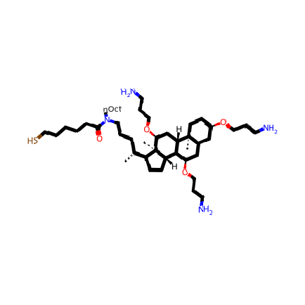 CCCCCCCCN(CCC[C@@H](C)C1CC[C@H]2C3[C@H](OCCCN)CC4C[C@H](OCCCN)CC[C@]4(C)[C@H]3C[C@H](OCCCN)[C@]12C)C(=O)CCCCCS